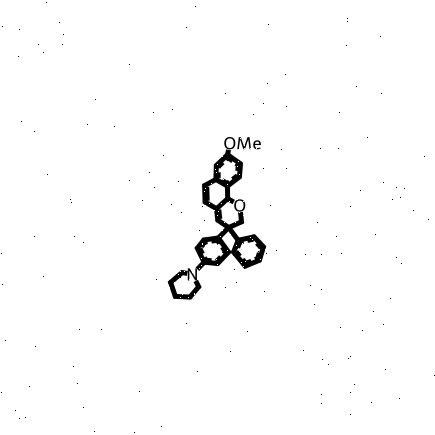 COc1ccc2c(c1)C=CC1=CC(c3ccccc3)(c3ccc(N4CCCCC4)cc3)COC12